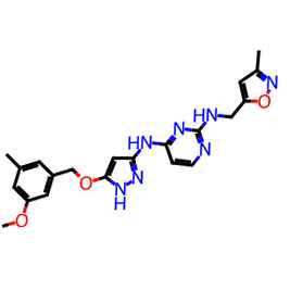 COc1cc(C)cc(COc2cc(Nc3ccnc(NCc4cc(C)no4)n3)n[nH]2)c1